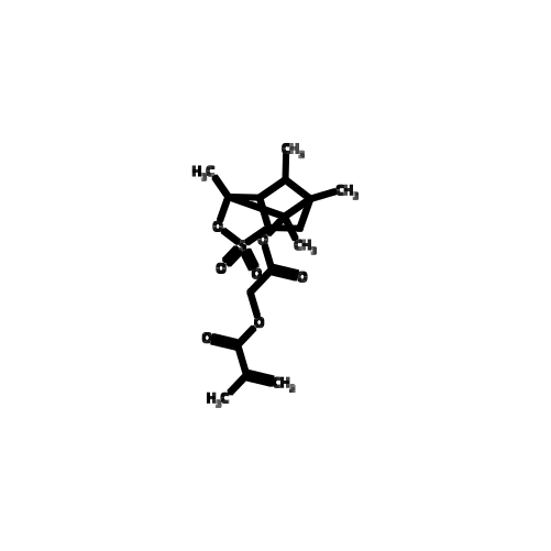 C=C(C)C(=O)OCC(=O)OC1(C)C2(C)CC3C(C2C)C1(C)OS3(=O)=O